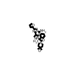 CC(C(=O)N1CCC2(CC1)COC2)(c1ccccc1)n1ncc2c1nc(N)n1nc(-c3ccco3)nc21